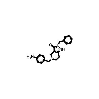 Nc1ccc(CN2CCc3[nH]n(Cc4ccccc4)c(=O)c3C2)cc1